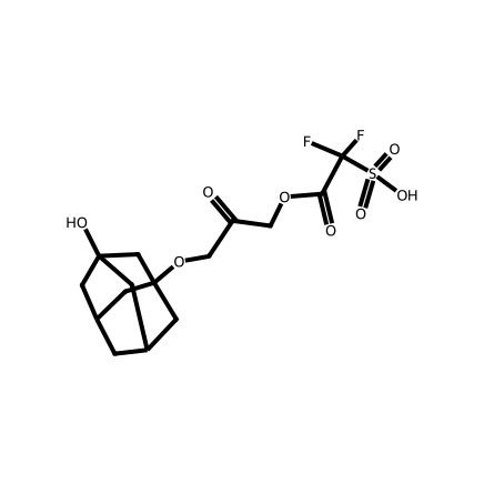 O=C(COC(=O)C(F)(F)S(=O)(=O)O)COC12CC3CC(CC(O)(C3)C1)C2